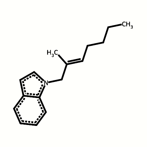 CCCC/C=C(\C)Cn1ccc2ccccc21